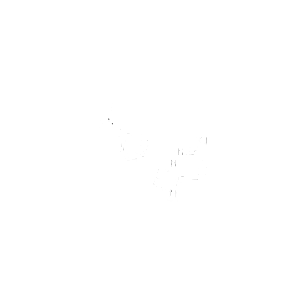 CN(C)c1ccc(-c2cnc3ccc(Cl)nn23)cc1